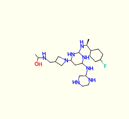 CC(O)NCC1CN(C2CC(NC3CNCCN3)NC(N[C@@H](C)C3CCC(F)CC3)N2)C1